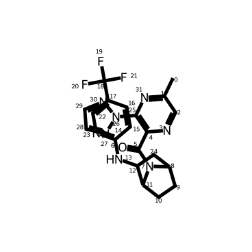 Cc1cnc(C(=O)N2C3CCC2C(Nc2ccc(C(F)(F)F)cn2)C3)c(-n2nccn2)n1